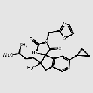 COC(C)CCC1(C)Cc2ccc(C3CC3)cc2C12NC(=O)N(Cc1nccs1)C2=O